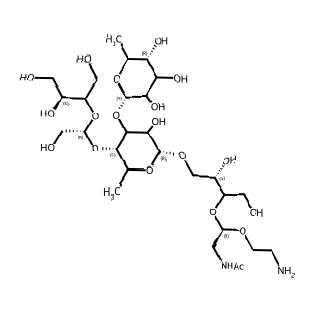 CC(=O)NC[C@H](OCCN)OC(CO)[C@@H](O)CO[C@@H]1OC(C)[C@H](O[C@H](CO)OC(CO)[C@@H](O)CO)C(O[C@@H]2OC(C)[C@H](O)C(O)C2O)C1O